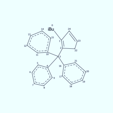 CCC(C)C1=C(C(c2ccccc2)(c2ccccc2)c2ccccc2)CC=C1